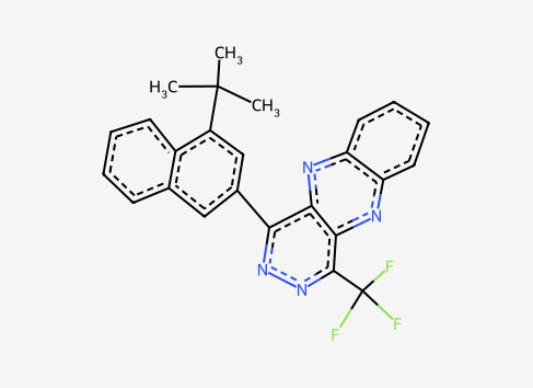 CC(C)(C)c1cc(-c2nnc(C(F)(F)F)c3nc4ccccc4nc23)cc2ccccc12